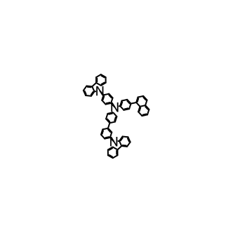 c1cc(-c2ccc(N(c3ccc(-c4cccc5ccccc45)cc3)c3ccc(-n4c5ccccc5c5ccccc54)cc3)cc2)cc(-n2c3ccccc3c3ccccc32)c1